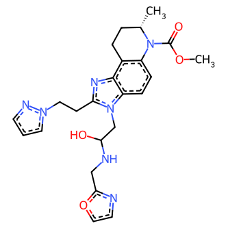 COC(=O)N1c2ccc3c(nc(CCn4cccn4)n3CC(O)NCc3ncco3)c2CC[C@@H]1C